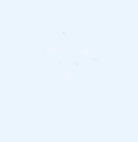 COc1nc(OCc2cccc(-c3ccccc3)c2C)nc(OC)c1CN1CCC2(CC2)C1